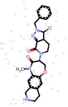 CN1C(=O)[C@@H](N2CCC3C(=NN(Cc4ccccc4)C3Cl)C2=O)COc2cc3c(cc21)CNCC3